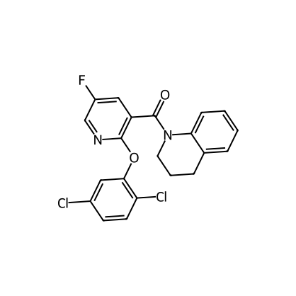 O=C(c1cc(F)cnc1Oc1cc(Cl)ccc1Cl)N1CCCc2ccccc21